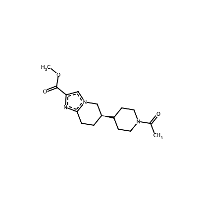 COC(=O)c1cn2c(n1)CC[C@H](C1CCN(C(C)=O)CC1)C2